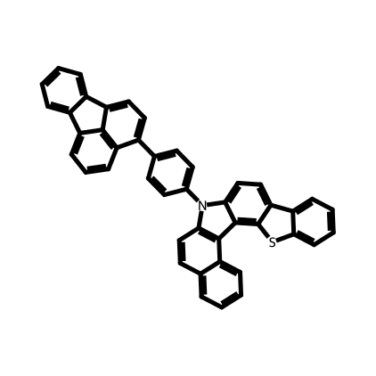 c1ccc2c(c1)-c1cccc3c(-c4ccc(-n5c6ccc7ccccc7c6c6c7sc8ccccc8c7ccc65)cc4)ccc-2c13